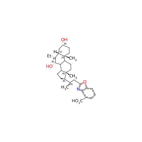 CC[C@H]1[C@@H](O)C2C3CC[C@H]([C@H](C)Cc4nc5c(C(=O)O)cccc5o4)[C@@]3(C)CCC2[C@@]2(C)CC[C@@H](O)C[C@@H]12